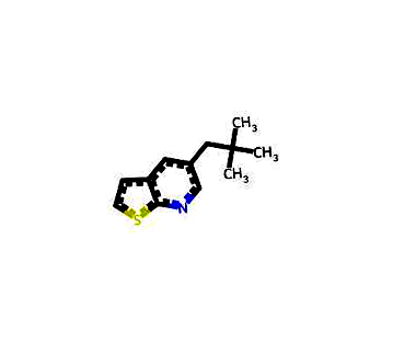 CC(C)(C)Cc1cnc2sccc2c1